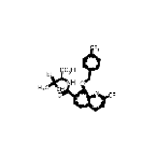 CCC(C)(C)[C@H](NC(=O)c1ccc2ccc(C(F)(F)F)nc2c1OCc1ccc(C(F)(F)F)cc1)C(=O)O